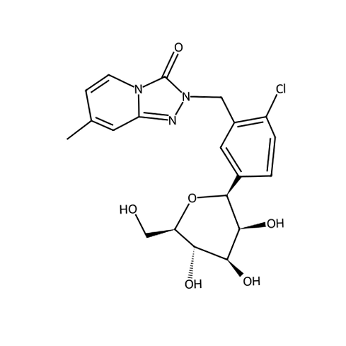 Cc1ccn2c(=O)n(Cc3cc([C@@H]4O[C@H](CO)[C@@H](O)[C@H](O)[C@@H]4O)ccc3Cl)nc2c1